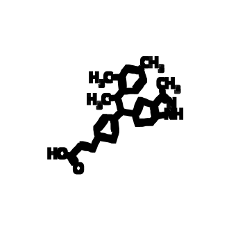 Cc1ccc(C(C)C(c2ccc(/C=C/C(=O)O)cc2)c2ccc3[nH]nc(C)c3c2)c(C)c1